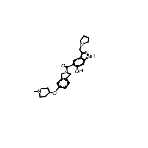 CN1CCC(Oc2ccc3c(c2)CN(C(=O)c2cc4c(CN5CCCC5)n[nH]c4cc2O)C3)CC1